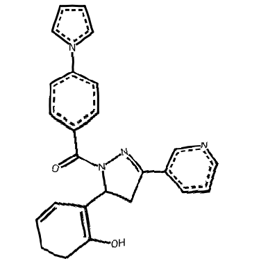 O=C(c1ccc(-n2cccc2)cc1)N1N=C(c2cccnc2)CC1C1=C(O)CCC=C1